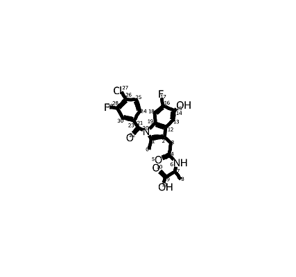 Cc1c(CC(=O)NC(C)C(=O)O)c2cc(O)c(F)cc2n1C(=O)c1ccc(Cl)c(F)c1